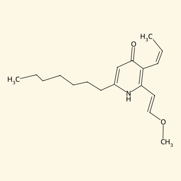 C/C=C\c1c(/C=C/OC)[nH]c(CCCCCCC)cc1=O